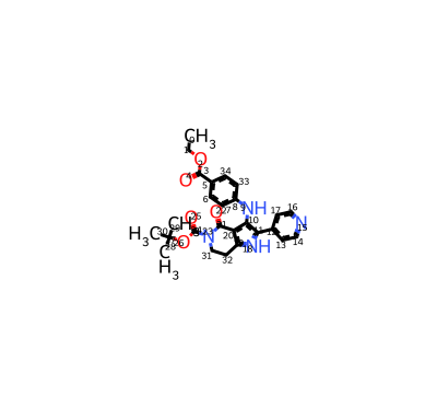 CCOC(=O)c1ccc(Nc2c(-c3ccncc3)[nH]c3c2C(=O)N(C(=O)OC(C)(C)C)CC3)cc1